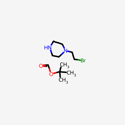 BrCCN1CCNCC1.CC(C)(C)OC=O